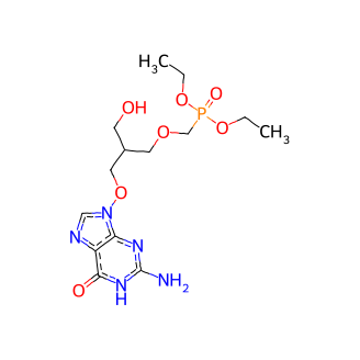 CCOP(=O)(COCC(CO)COn1cnc2c(=O)[nH]c(N)nc21)OCC